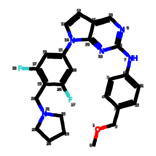 COCc1ccc(Nc2ncc3ccn(-c4cc(F)c(CN5CCCC5)c(F)c4)c3n2)cc1